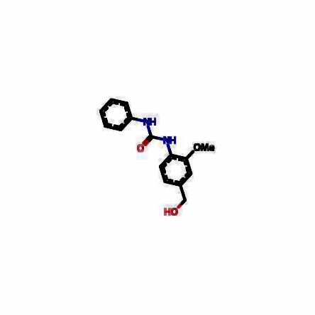 COc1cc(CO)ccc1NC(=O)Nc1ccccc1